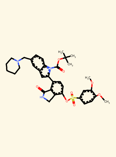 COc1ccc(S(=O)(=O)Oc2ccc(-c3cc4cc(CN5CCCCC5)ccc4n3C(=O)OC(C)(C)C)c3c2CNC3=O)cc1OC